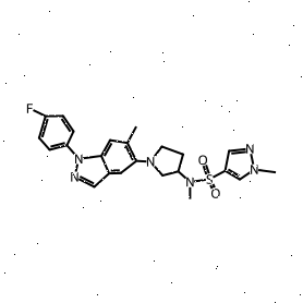 Cc1cc2c(cnn2-c2ccc(F)cc2)cc1N1CCC(N(C)S(=O)(=O)c2cnn(C)c2)C1